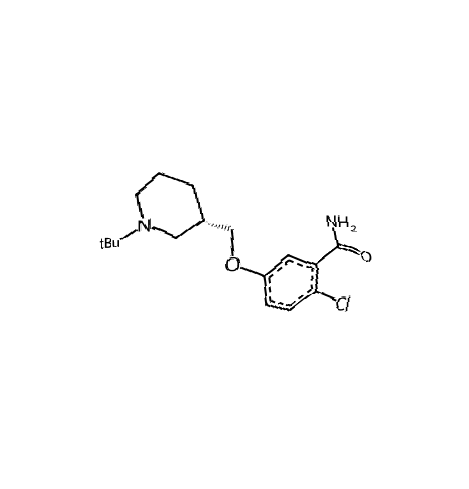 CC(C)(C)N1CCC[C@H](COc2ccc(Cl)c(C(N)=O)c2)C1